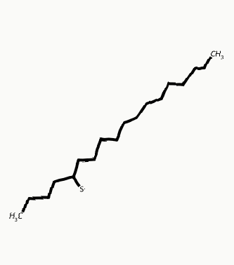 CCCCCCCCCCCCCC([S])CCCC